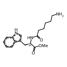 COC(=O)[C@@H](Cc1c[nH]c2ccccc12)NC(=O)CCCCCN